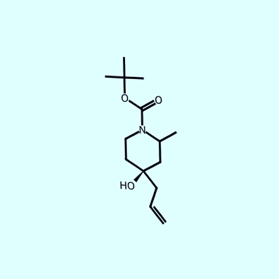 C=CC[C@]1(O)CCN(C(=O)OC(C)(C)C)C(C)C1